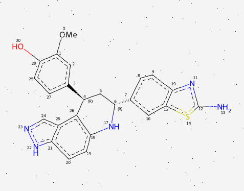 COc1cc([C@H]2C[C@H](c3ccc4nc(N)sc4c3)Nc3ccc4[nH]ncc4c32)ccc1O